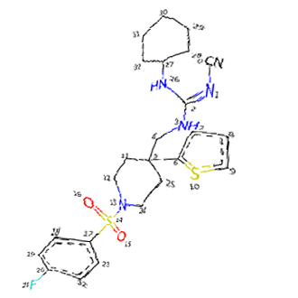 N#C/N=C(/NCC1(c2cccs2)CCN(S(=O)(=O)c2ccc(F)cc2)CC1)NC1CCCCC1